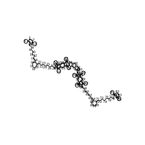 O=C1C=CC(=O)N1CCCCCCCCC1CCCCC1CCCCCCCCn1c(=O)c2cc3c(=O)n(CC4CC5C6CC(C5C4)C(n4c(=O)c5cc7c(=O)n(CCCCCCCCC8CCCCC8CCCCCCCCN8C(=O)C=CC8=O)c(=O)c7cc5c4=O)C6)c(=O)c3cc2c1=O